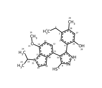 CCc1cc(-c2[nH]nc(S)c2-c2ccc(OC)c3c2ccn3C(C)C)c(O)cc1C